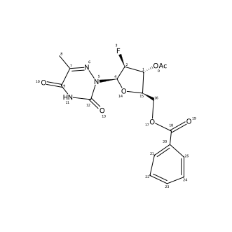 CC(=O)O[C@H]1[C@H](F)[C@H](n2nc(C)c(=O)[nH]c2=O)O[C@@H]1COC(=O)c1ccccc1